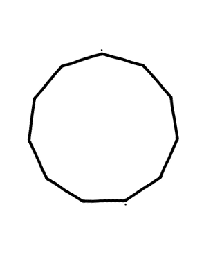 [CH]1CCCC[CH]CCCCC1